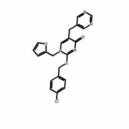 O=c1nc(SCc2ccc(Cl)cc2)n(Cc2ccco2)cc1Cc1cncnc1